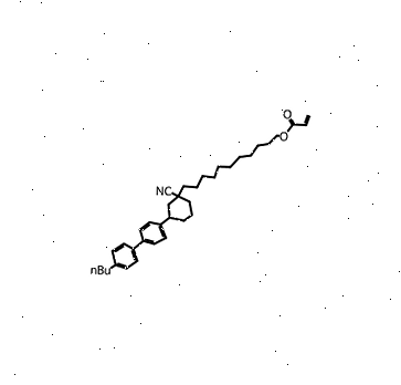 C=CC(=O)OCCCCCCCCCCCC1(C#N)CCCC(c2ccc(-c3ccc(CCCC)cc3)cc2)C1